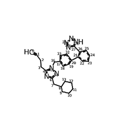 C#CCCc1nc(CC2CCCCC2)nn1Cc1ccc(-c2ccccc2-c2nnn[nH]2)cc1